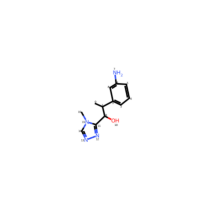 CC(c1cccc(N)c1)C(O)c1nncn1C